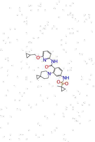 CC1(S(=O)(=O)Nc2ccc(C(=O)Nc3cccc(OCC4CC4)n3)c(N3CCC4(CC3)CC4)c2)CC1